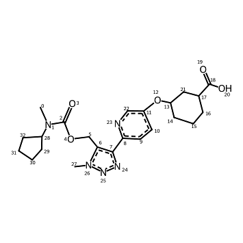 CN(C(=O)OCc1c(-c2ccc(OC3CCCC(C(=O)O)C3)cn2)nnn1C)C1CCCC1